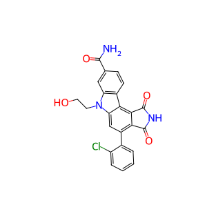 NC(=O)c1ccc2c3c4c(c(-c5ccccc5Cl)cc3n(CCO)c2c1)C(=O)NC4=O